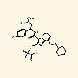 Cc1nc2c(OCC3CCCCC3)cccn2c1C(=O)NC(CN(C(=O)O)C(C)(C)C)c1ccc(Cl)cc1.O=C(O)C(F)(F)F